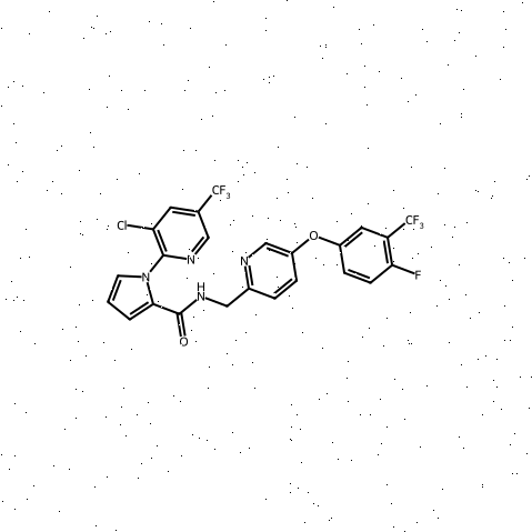 O=C(NCc1ccc(Oc2ccc(F)c(C(F)(F)F)c2)cn1)c1cccn1-c1ncc(C(F)(F)F)cc1Cl